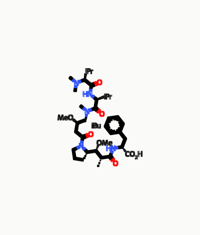 CC[C@H](C)[C@@H]([C@@H](CC(=O)N1CCC[C@H]1[C@H](OC)[C@@H](C)C(=O)N[C@H](Cc1ccccc1)C(=O)O)OC)N(C)C(=O)[C@@H](NC(=O)[C@H](C(C)C)N(C)C)C(C)C